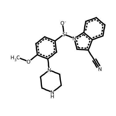 COc1ccc([S+]([O-])n2cc(C#N)c3ccccc32)cc1N1CCNCC1